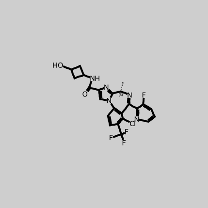 C[C@@H]1N=C(c2ncccc2F)c2c(ccc(C(F)(F)F)c2Cl)-n2cc(C(=O)NC3CC(O)C3)nc21